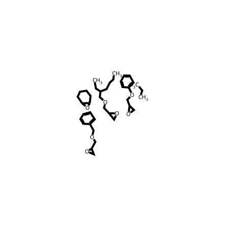 C1CCC2OC2C1.CCC.CCCCC(CC)COCC1CO1.c1ccc(COCC2CO2)cc1.c1ccc(OCC2CO2)cc1